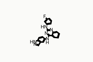 Fc1cccc(Nc2nc(Nc3ccc4[nH]ncc4c3)c3ccccc3n2)c1